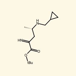 C[C@@H](CC(=N)C(=O)OC(C)(C)C)NCC1CC1